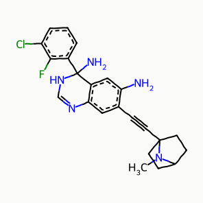 CN1C2CCC1(C#Cc1cc3c(cc1N)C(N)(c1cccc(Cl)c1F)NC=N3)CC2